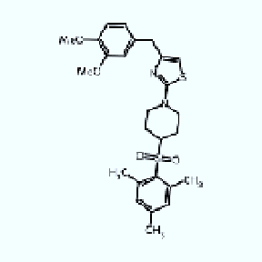 COc1ccc(Cc2csc(N3CCC(S(=O)(=O)c4c(C)cc(C)cc4C)CC3)n2)cc1OC